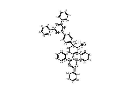 CC1(c2ccc(-c3nc(-c4ccccc4)nc(-c4ccccc4)n3)cc2)C=CC=C(c2ccccc2-c2nc(-c3ccccc3)nc(-c3ccccc3)n2)C1C#N